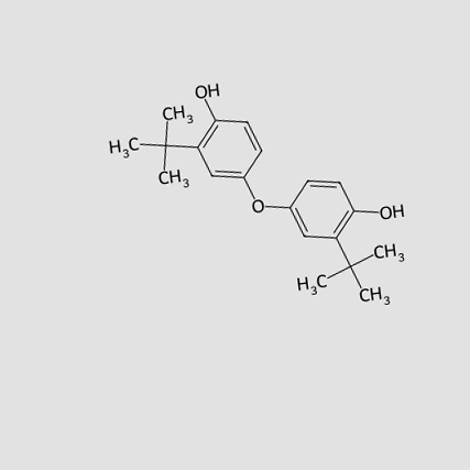 CC(C)(C)c1cc(Oc2ccc(O)c(C(C)(C)C)c2)ccc1O